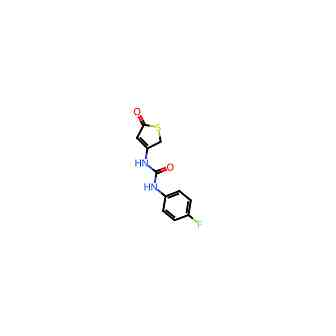 O=C(NC1=CC(=O)SC1)Nc1ccc(F)cc1